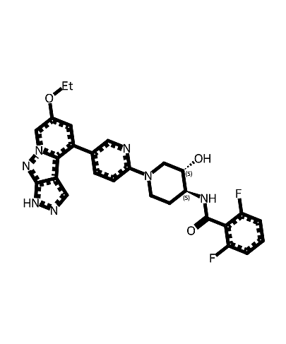 CCOc1cc(-c2ccc(N3CC[C@H](NC(=O)c4c(F)cccc4F)[C@@H](O)C3)nc2)c2c3cn[nH]c3nn2c1